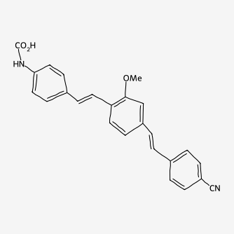 COc1cc(C=Cc2ccc(C#N)cc2)ccc1C=Cc1ccc(NC(=O)O)cc1